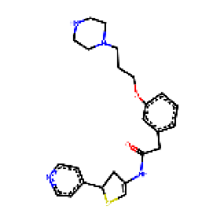 O=C(Cc1cccc(OCCCN2CCNCC2)c1)NC1=CSC(c2ccncc2)C1